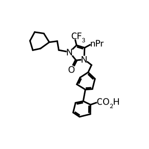 CCCc1c(C(F)(F)F)n(CCC2CCCCC2)c(=O)n1Cc1ccc(-c2ccccc2C(=O)O)cc1